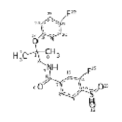 CC(C)(CNC(=O)c1ccc([SH](=O)=O)c(F)c1)Oc1ccc(F)cc1